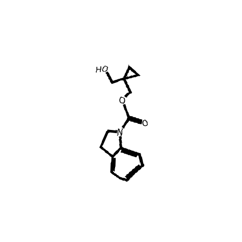 O=C(OCC1(CO)CC1)N1CCc2ccccc21